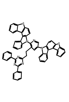 c1ccc(-c2nc(CCc3cc(-n4c5ccccc5c5c6c(ccc54)sc4ccccc46)cnc3-n3c4ccccc4c4c5c(ccc43)sc3ccccc35)nc(-c3ccccc3)n2)cc1